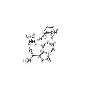 NC(=O)c1coc2cnc([C@H]3CN4CCC3CC4)cc12.NC=O